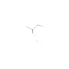 CCC(C)CBr.[MgH2]